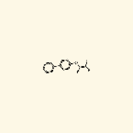 FC(F)=C(F)Oc1ccc(-c2ccccc2)cc1